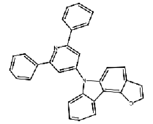 c1ccc(-c2cc(-n3c4ccccc4c4c5occc5ccc43)cc(-c3ccccc3)n2)cc1